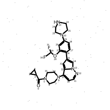 O=C(C1CC1)N1CCN(c2ccnn3cc(-c4ccc(N5CCNCC5)cc4OC(F)F)cc23)CC1